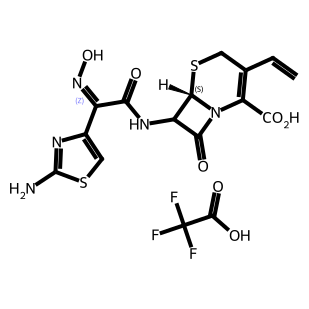 C=CC1=C(C(=O)O)N2C(=O)C(NC(=O)/C(=N\O)c3csc(N)n3)[C@@H]2SC1.O=C(O)C(F)(F)F